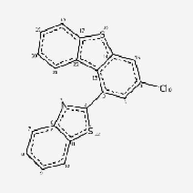 Clc1cc(-c2nc3ccccc3s2)c2c(c1)sc1ccccc12